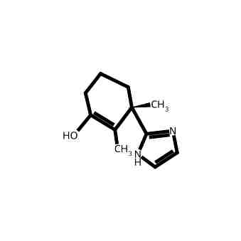 CC1=C(O)CCC[C@]1(C)c1ncc[nH]1